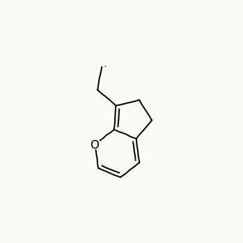 [CH2]CC1=C2OC=CC=C2CC1